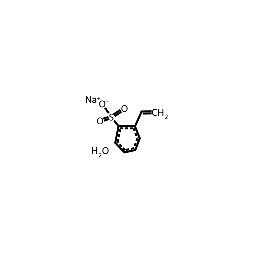 C=Cc1ccccc1S(=O)(=O)[O-].O.[Na+]